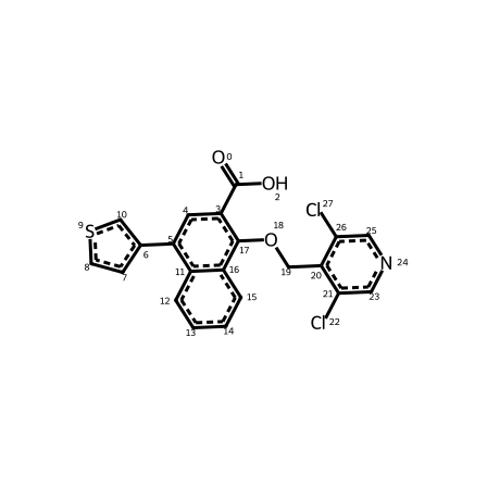 O=C(O)c1cc(-c2ccsc2)c2ccccc2c1OCc1c(Cl)cncc1Cl